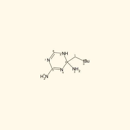 CC(C)(C)CC1(N)N=C(N)N=CN1